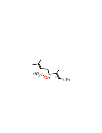 CCCC/C=C(\C)CCC=C(C)C.O=C(O)O